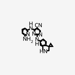 N#Cc1cnc(Nc2ccc3c(c2)CNCC32CC2)nc1Nc1cccc(N)n1